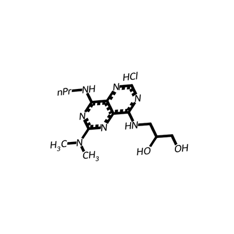 CCCNc1nc(N(C)C)nc2c(NCC(O)CO)ncnc12.Cl